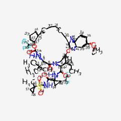 CC[C@@H]1[C@@H]2CN(C(=O)[C@H](C(C)(C)C)NC(=O)O[C@@]3(C(F)(F)F)CCCC3CCCCCc3nc4ccc(OC)cc4nc3O2)[C@@H]1C(=O)N[C@]1(C(=O)NS(=O)(=O)C2(C)CC2)C[C@H]1C(F)F